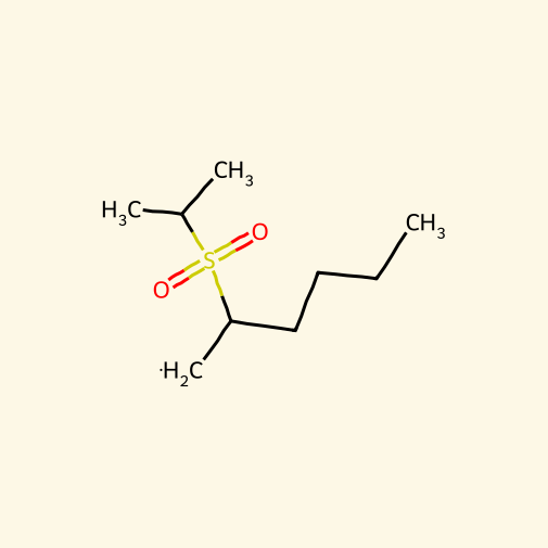 [CH2]C(CCCC)S(=O)(=O)C(C)C